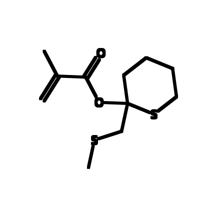 C=C(C)C(=O)OC1(CSC)CCCCS1